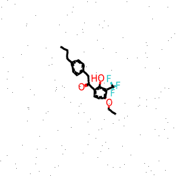 CCCc1ccc(CC(=O)c2ccc(OCC)c(C(F)(F)F)c2O)cc1